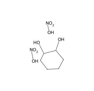 O=[N+]([O-])O.O=[N+]([O-])O.OC1CCCCC1O